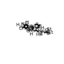 CCOC(CNC(=N)NCCC[C@H](NS(=O)(=O)c1cc(Cl)c(N)c(Cl)c1)C(=O)N1CCC(C)CC1)OCC